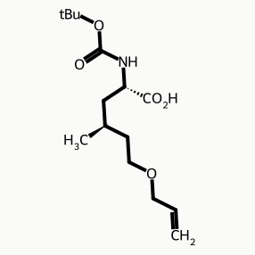 C=CCOCC[C@@H](C)C[C@H](NC(=O)OC(C)(C)C)C(=O)O